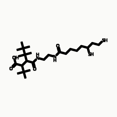 CC(C)(C)C(C(=O)O)C(C(=O)NCCNC(=O)CCCCC(S)CCS)C(C)(C)C(C)(C)C